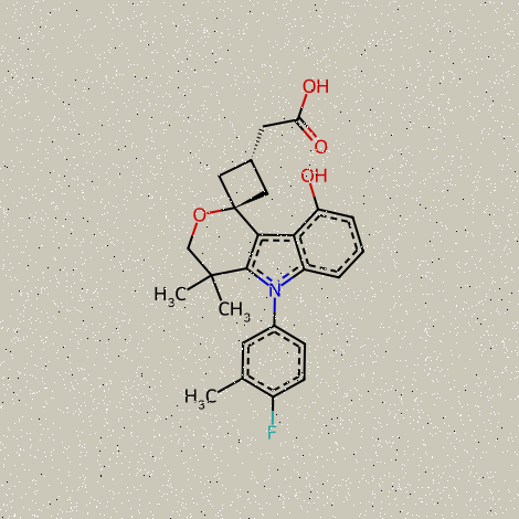 Cc1cc(-n2c3c(c4c(O)cccc42)[C@]2(C[C@@H](CC(=O)O)C2)OCC3(C)C)ccc1F